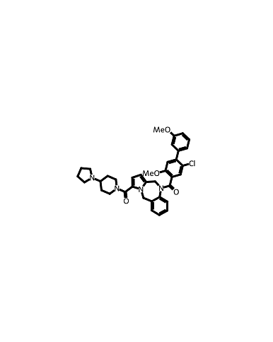 COc1cccc(-c2cc(OC)c(C(=O)N3Cc4ccc(C(=O)N5CCC(N6CCCC6)CC5)n4Cc4ccccc43)cc2Cl)c1